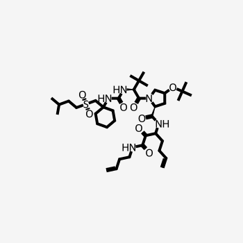 C=CCCNC(=O)C(=O)C(CCC=C)NC(=O)[C@@H]1CC(OC(C)(C)C)CN1C(=O)[C@@H](NC(=O)NC1(CS(=O)(=O)CCC(C)C)CCCCC1)C(C)(C)C